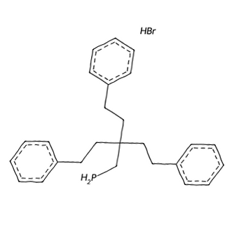 Br.PCC(CCc1ccccc1)(CCc1ccccc1)CCc1ccccc1